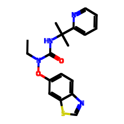 CCN(Oc1ccc2ncsc2c1)C(=O)NC(C)(C)c1ccccn1